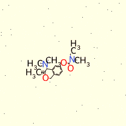 CCN(C)C(=O)Oc1ccc2c(c1)C(N(C)C)[C@H](C)OC2